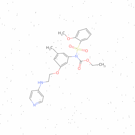 CCOC(=O)N(c1cc(C)cc(OCCNc2ccncc2)c1)S(=O)(=O)c1ccccc1OC